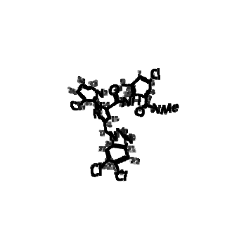 CNC(=O)c1cc(Cl)cc(C)c1NC(=O)c1cc(Cn2nnc3cc(Cl)c(Cl)cc32)nn1-c1ncccc1Cl